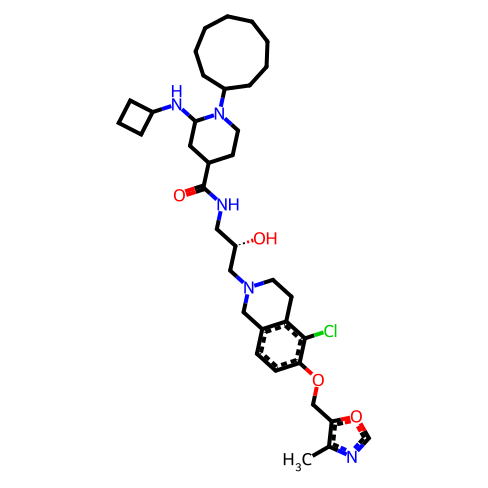 Cc1ncoc1COc1ccc2c(c1Cl)CCN(C[C@@H](O)CNC(=O)C1CCN(C3CCCCCCCC3)C(NC3CCC3)C1)C2